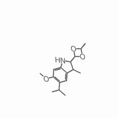 COc1cc2c(cc1C(C)C)C(C)C(C1OC(C)O1)N2